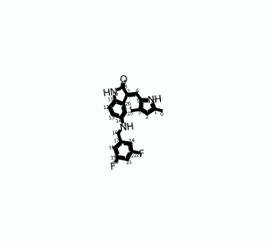 Cc1cc(C)c(C=C2C(=O)Nc3ccc(NCc4cc(F)cc(F)c4)cc32)[nH]1